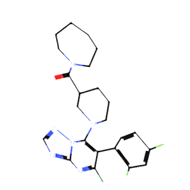 O=C(C1CCCN(c2c(-c3ccc(F)cc3F)c(Cl)nc3ncnn23)C1)N1CCCCCC1